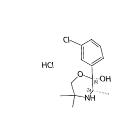 C[C@@H]1NC(C)(C)CO[C@@]1(O)c1cccc(Cl)c1.Cl